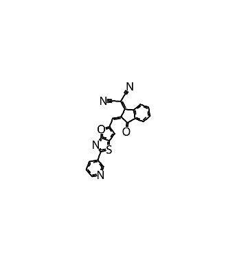 N#CC(C#N)=C1/C(=C/c2cc3sc(-c4cccnc4)nc3o2)C(=O)c2ccccc21